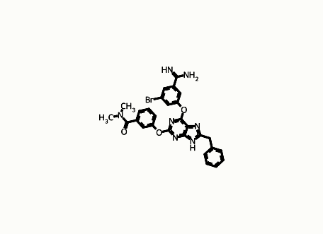 CN(C)C(=O)c1cccc(Oc2nc(Oc3cc(Br)cc(C(=N)N)c3)c3nc(Cc4ccccc4)[nH]c3n2)c1